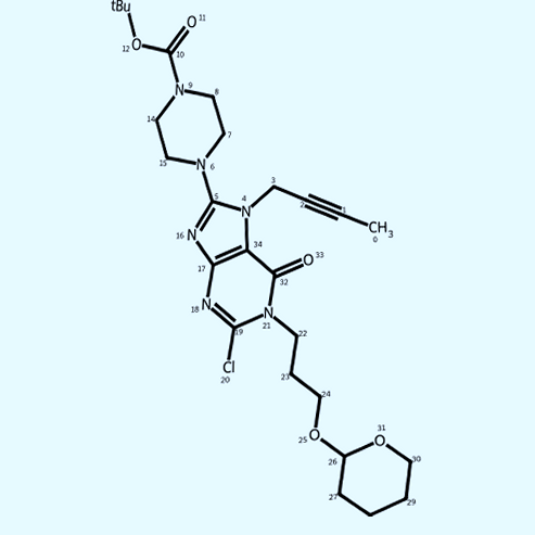 CC#CCn1c(N2CCN(C(=O)OC(C)(C)C)CC2)nc2nc(Cl)n(CCCOC3CCCCO3)c(=O)c21